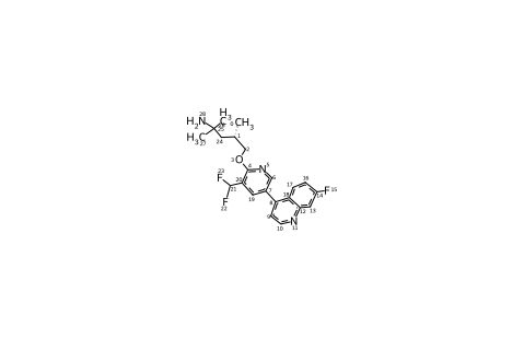 C[C@H](COc1ncc(-c2ccnc3cc(F)ccc23)cc1C(F)F)CC(C)(C)N